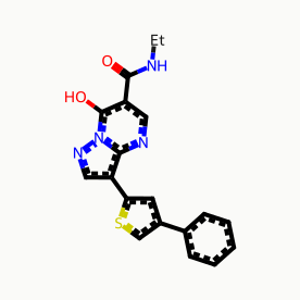 CCNC(=O)c1cnc2c(-c3cc(-c4ccccc4)cs3)cnn2c1O